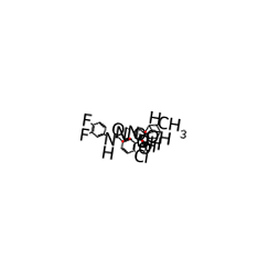 C[C@H]1C2C[C@H](S(=O)(=O)c3cc(C(=O)Nc4ccc(F)c(F)c4)ccc3Cl)CC1[C@@]2(O)C(O)Cn1ccnc1